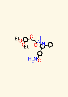 CCOc1ccc(C(=O)CCC(=O)Nc2cc(-c3ccc(C(N)=O)cc3)cc(-c3ccccc3)n2)cc1OCC